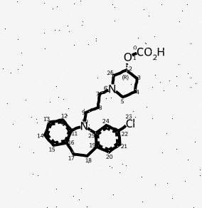 O=C(O)O[C@@H]1CCCN(CCCN2c3ccccc3CCc3ccc(Cl)cc32)C1